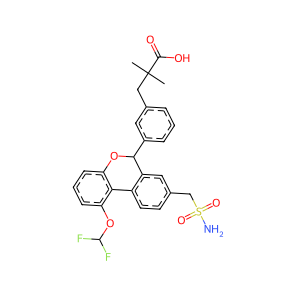 CC(C)(Cc1cccc(C2Oc3cccc(OC(F)F)c3-c3ccc(CS(N)(=O)=O)cc32)c1)C(=O)O